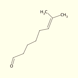 CC(C)=CCCCCC=O